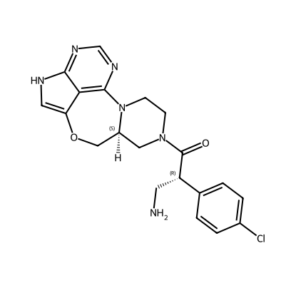 NC[C@H](C(=O)N1CCN2c3ncnc4[nH]cc(c34)OC[C@@H]2C1)c1ccc(Cl)cc1